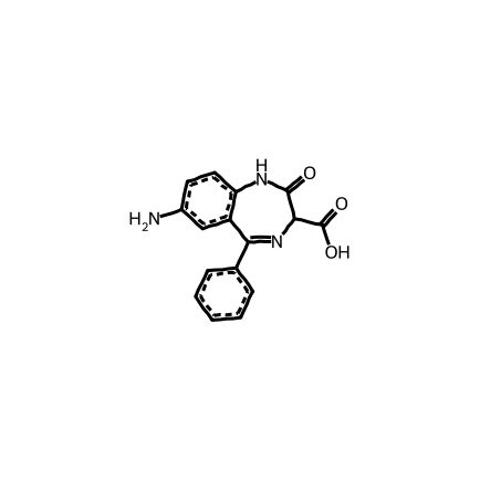 Nc1ccc2c(c1)C(c1ccccc1)=NC(C(=O)O)C(=O)N2